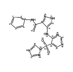 O=C(Nc1ccccc1)c1n[nH]cc1Nc1ncncc1S(=O)(=O)n1cncn1